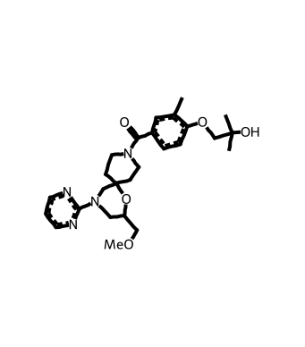 COCC1CN(c2ncccn2)CC2(CCN(C(=O)c3ccc(OCC(C)(C)O)c(C)c3)CC2)O1